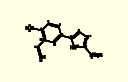 CCCCCCCc1ncc(-c2ccc(N)c(C=N)c2)[nH]1